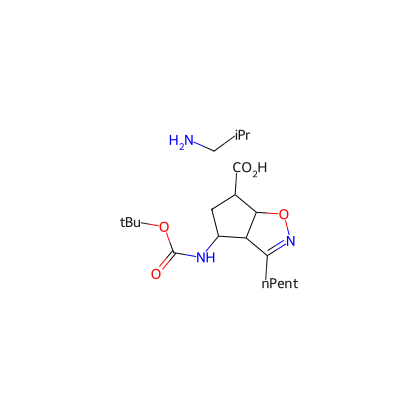 CC(C)CN.CCCCCC1=NOC2C(C(=O)O)CC(NC(=O)OC(C)(C)C)C12